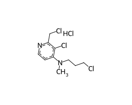 CN(CCCCl)c1ccnc(CCl)c1Cl.Cl